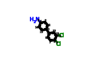 Nc1ccc(-c2ccc(Cl)c(Cl)c2)cc1